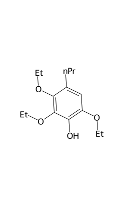 CCCc1cc(OCC)c(O)c(OCC)c1OCC